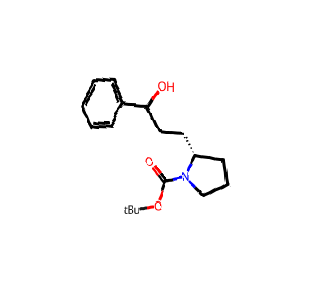 CC(C)(C)OC(=O)N1CCC[C@H]1CCC(O)c1ccccc1